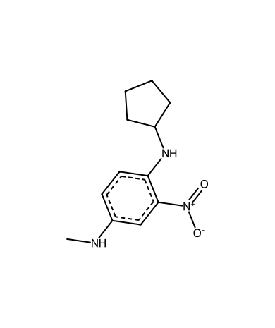 CNc1ccc(NC2CCCC2)c([N+](=O)[O-])c1